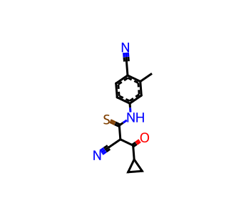 Cc1cc(NC(=S)C(C#N)C(=O)C2CC2)ccc1C#N